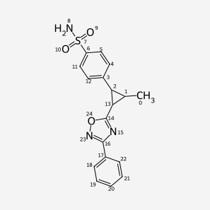 CC1C(c2ccc(S(N)(=O)=O)cc2)C1c1nc(-c2ccccc2)no1